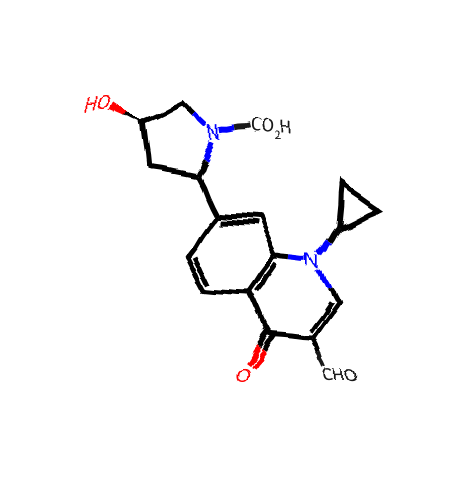 O=Cc1cn(C2CC2)c2cc(C3C[C@@H](O)CN3C(=O)O)ccc2c1=O